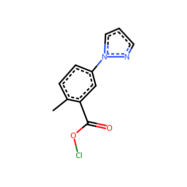 Cc1ccc(-n2cccn2)cc1C(=O)OCl